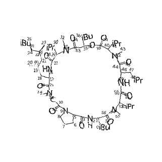 CCC(C)C1NC(=O)C2CCCN2C(=O)CN(C)C(=O)C(C[C@H](C)C[C@H](C)C[C@H](C)CC)NC(=O)C(C(C)C)N(C)C(=O)C(C(C)CC)OC(=O)C(C(C)C)N(C)C(=O)C(CC(C)C)NC(=O)C(C(C)C)N(C)C1=O